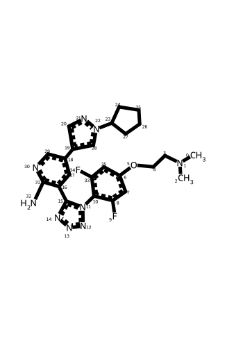 CN(C)CCOc1cc(F)c(-n2nnnc2-c2cc(-c3cnn(C4CCCC4)c3)cnc2N)c(F)c1